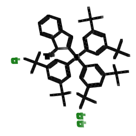 CC(C)(C)c1cc(C(C)(C)C)cc([Si](C2=Cc3ccccc3[CH]2[Ti+3])(c2cc(C(C)(C)C)cc(C(C)(C)C)c2)c2cc(C(C)(C)C)cc(C(C)(C)C)c2)c1.[Cl-].[Cl-].[Cl-]